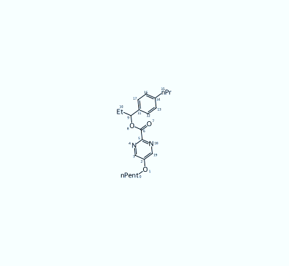 CCCCCOc1cnc(C(=O)OC(CC)c2ccc(CCC)cc2)nc1